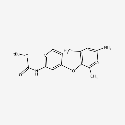 Cc1cc(N)nc(C)c1Oc1ccnc(NC(=O)OC(C)(C)C)c1